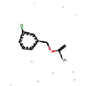 C=C(OCc1cccc(Cl)c1)C(C)C